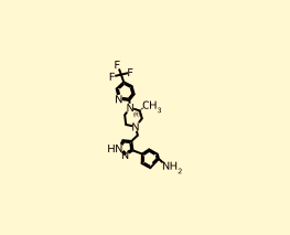 C[C@@H]1CN(Cc2c[nH]nc2-c2ccc(N)cc2)CCN1c1ccc(C(F)(F)F)cn1